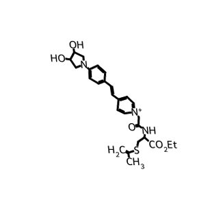 C=C(C)SCC(NC(=O)C[n+]1ccc(/C=C/c2ccc(N3CC(O)C(O)C3)cc2)cc1)C(=O)OCC